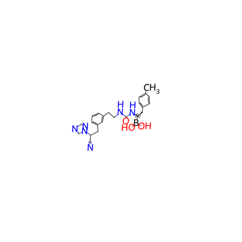 Cc1ccc(C[C@H](NC(=O)NCCc2cccc(CC(C#N)n3cncn3)c2)B(O)O)cc1